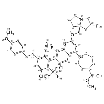 COC(=O)C1CCCN(c2nc(OC[C@@]34CCCN3C[C@H](F)C4)nc3c(F)c(-c4c(C#N)c(NCc5ccc(OC)cc5)cc(C)c4C(F)(F)F)c(Cl)cc23)CC1